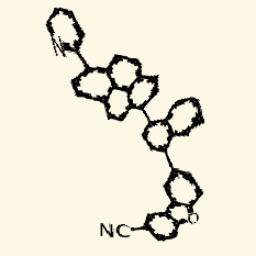 N#Cc1ccc2oc3ccc(-c4ccc(-c5ccc6ccc7c(-c8ccccn8)ccc8ccc5c6c87)c5ccccc45)cc3c2c1